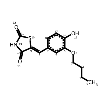 CCCCOc1cc(/C=C2\SC(=O)NC2=O)ccc1O